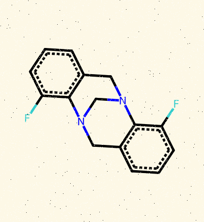 Fc1cccc2c1N1Cc3cccc(F)c3N(C2)C1